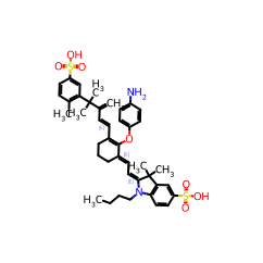 C=C(/C=C/C1=C(Oc2ccc(N)cc2)C(=C/C=C2/N(CCCC)c3ccc(S(=O)(=O)O)cc3C2(C)C)/CCC1)C(C)(C)c1cc(S(=O)(=O)O)ccc1C